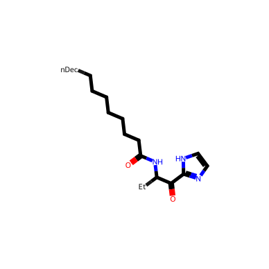 CCCCCCCCCCCCCCCCCC(=O)NC(CC)C(=O)c1ncc[nH]1